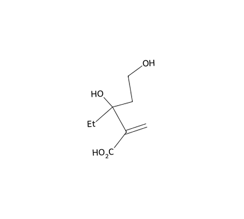 C=C(C(=O)O)C(O)(CC)CCO